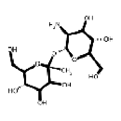 C[C@]1(O[C@H]2OC(CO)[C@@H](O)C(O)C2N)OC(CO)[C@@H](O)C(O)C1O